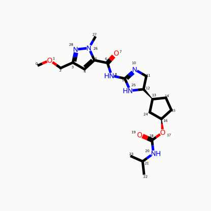 COCc1cc(C(=O)NC2=NCC([C@H]3CC[C@@H](OC(=O)NC(C)C)C3)N2)n(C)n1